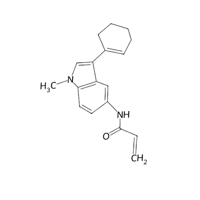 C=CC(=O)Nc1ccc2c(c1)c(C1=CCCCC1)cn2C